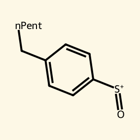 CCCCCCc1ccc([S+]=O)cc1